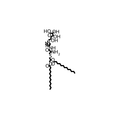 CCCCCCCCCCCCC(=O)OCC(CSCC(N)C(=O)Nc1cn(CC(O)C2OC(O)[C@@H](O)[C@@H]2O)nn1)OC(=O)CCCCCCCCCCCC